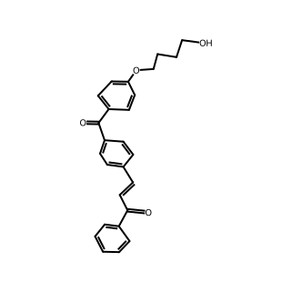 O=C(C=Cc1ccc(C(=O)c2ccc(OCCCCO)cc2)cc1)c1ccccc1